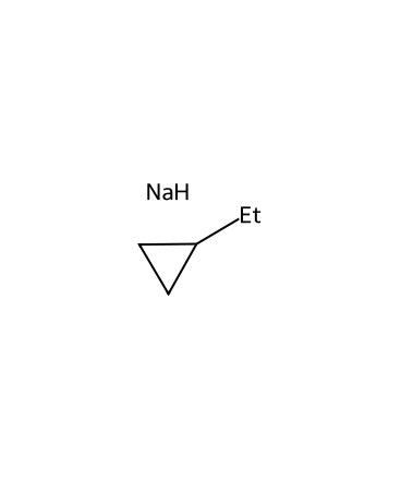 CCC1CC1.[NaH]